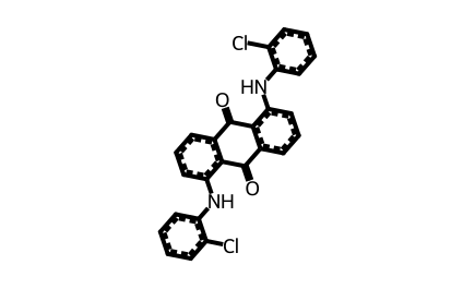 O=C1c2cccc(Nc3ccccc3Cl)c2C(=O)c2cccc(Nc3ccccc3Cl)c21